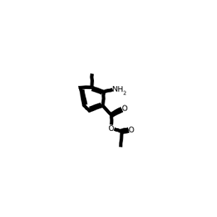 CC(=O)OC(=O)c1cccc(C)c1N